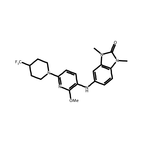 COc1nc(N2CCC(C(F)(F)F)CC2)ccc1Nc1ccc2c(c1)n(C)c(=O)n2C